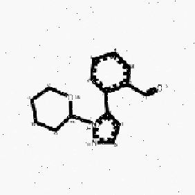 O=Cc1ccccc1-c1ccnn1C1CCCCO1